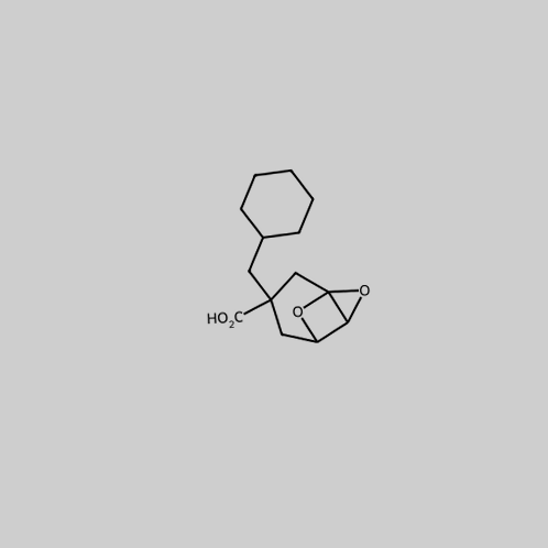 O=C(O)C1(CC2CCCCC2)CC2OC3(C1)OC23